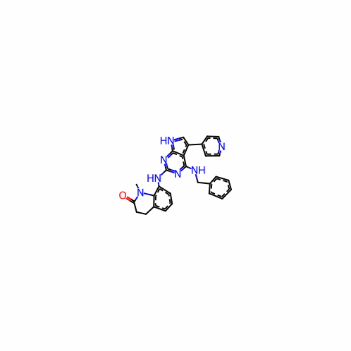 CN1C(=O)CCc2cccc(Nc3nc(NCc4ccccc4)c4c(-c5ccncc5)c[nH]c4n3)c21